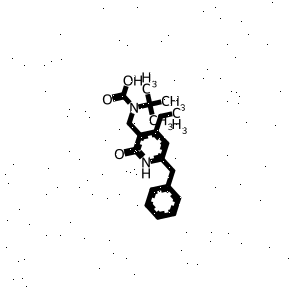 CCc1cc(Cc2ccccc2)[nH]c(=O)c1CN(C(=O)O)C(C)(C)C